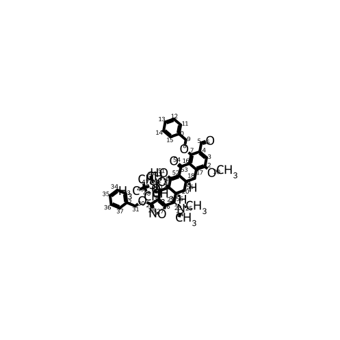 COc1cc(C=O)c(OCc2ccccc2)c2c1C[C@H]1C[C@H]3[C@H](N(C)C)c4onc(OCc5ccccc5)c4C(=O)C3(O[Si](C)(C)C(C)(C)C)C(O)=C1C2=O